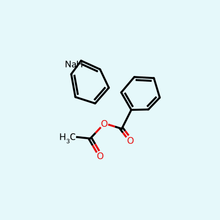 CC(=O)OC(=O)c1ccccc1.[NaH].c1ccccc1